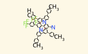 Cc1ccc(-c2ccc3c(c2)c2cc(-c4ccc(C)cc4)ccc2n3-c2cc(C#N)ccc2-c2ccc(-c3ccc(C(F)(F)F)cc3C(F)(F)F)cc2-n2c3ccc(-c4ccc(C)cc4)cc3c3cc(-c4ccc(C)cc4)ccc32)cc1